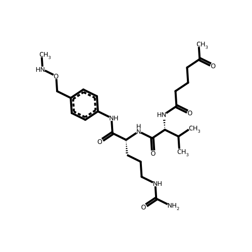 CNOCc1ccc(NC(=O)[C@@H](CCCNC(N)=O)NC(=O)[C@H](NC(=O)CCCC(C)=O)C(C)C)cc1